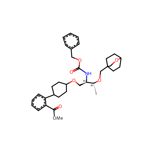 COC(=O)c1ccccc1C1CCC(OC[C@@H](NC(=O)OCc2ccccc2)[C@@H](C)OCC23CCC(CC2)OC3)CC1